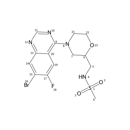 CS(=O)(=O)NCC1CN(c2ncnc3cc(Br)c(F)cc23)CCO1